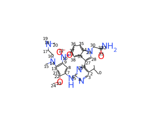 CCc1cnc(Nc2cc([N+](=O)[O-])c(N(C)CCN(C)C)cc2OC)nc1-c1cn(CC(N)=O)c2ccccc12